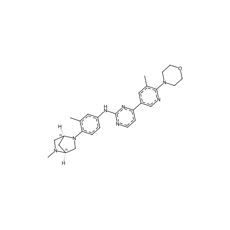 Cc1cc(Nc2nccc(-c3cnc(N4CCOCC4)c(C)c3)n2)ccc1N1C[C@@H]2C[C@H]1CN2C